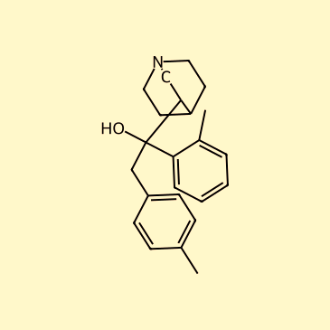 Cc1ccc(CC(O)(c2ccccc2C)C2CN3CCC2CC3)cc1